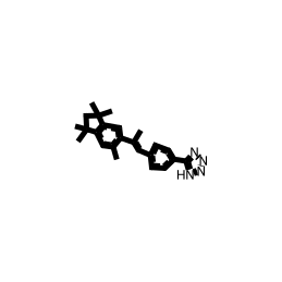 CC(=Cc1ccc(-c2nnn[nH]2)cc1)c1cc2c(cc1C)C(C)(C)CC2(C)C